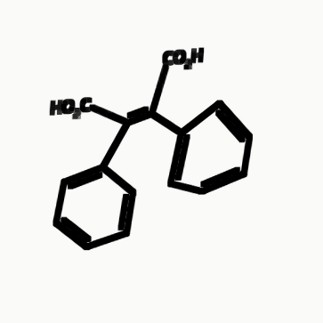 O=C(O)/C(=C(\C(=O)O)c1ccccc1)c1ccccc1